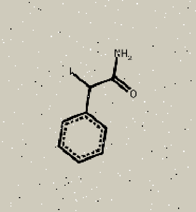 NC(=O)C(I)c1ccccc1